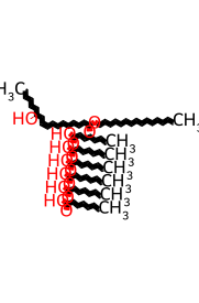 CCCCCCCC(=O)O.CCCCCCCC(=O)O.CCCCCCCC(=O)O.CCCCCCCC(=O)O.CCCCCCCC(=O)O.CCCCCCCC(=O)O.CCCCCCCCCCCCCCCCOC(=O)CCCCCCC/C=C\C[C@H](O)CCCCCC